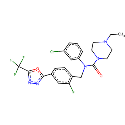 CCN1CCN(C(=O)N(Cc2ccc(-c3nnc(C(F)(F)F)o3)cc2F)c2cccc(Cl)c2)CC1